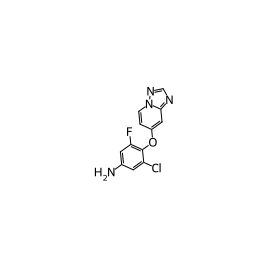 Nc1cc(F)c(Oc2ccn3ncnc3c2)c(Cl)c1